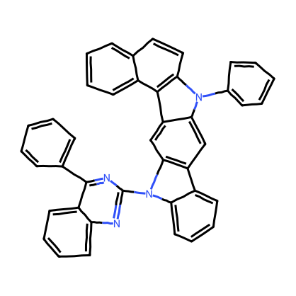 c1ccc(-c2nc(-n3c4ccccc4c4cc5c(cc43)c3c4ccccc4ccc3n5-c3ccccc3)nc3ccccc23)cc1